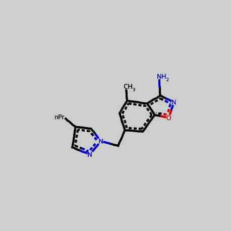 CCCc1cnn(Cc2cc(C)c3c(N)noc3c2)c1